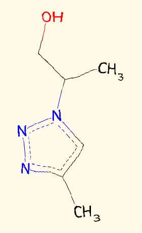 Cc1cn(C(C)CO)nn1